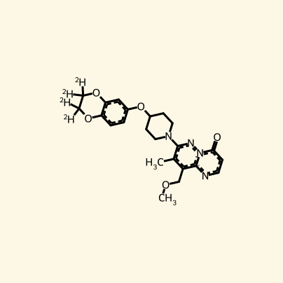 [2H]C1([2H])Oc2ccc(OC3CCN(c4nn5c(=O)ccnc5c(COC)c4C)CC3)cc2OC1([2H])[2H]